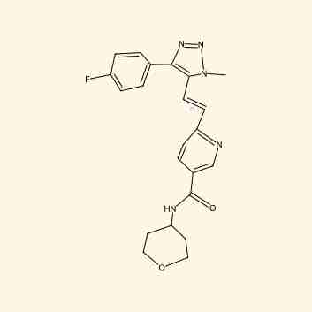 Cn1nnc(-c2ccc(F)cc2)c1/C=C/c1ccc(C(=O)NC2CCOCC2)cn1